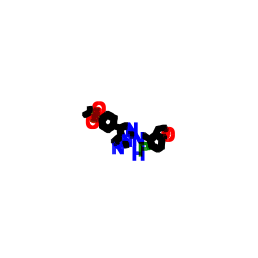 CC(C)S(=O)(=O)c1ccc(-c2cnc(NCc3c(F)ccc4c3CCO4)n3cncc23)cc1